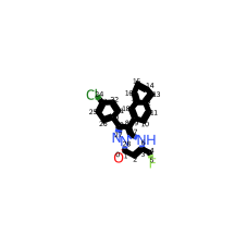 O=c1cc(CF)[nH]c2c(-c3ccc4ccccc4c3)c(-c3ccc(Cl)cc3)nn12